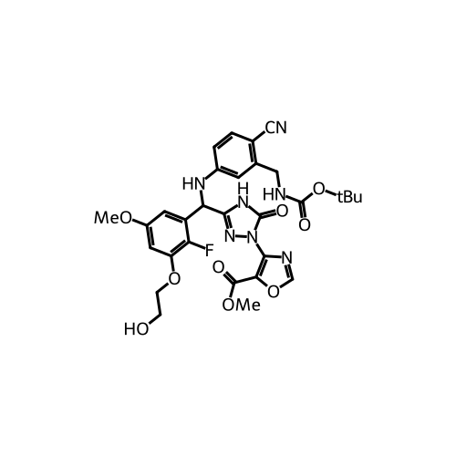 COC(=O)c1ocnc1-n1nc(C(Nc2ccc(C#N)c(CNC(=O)OC(C)(C)C)c2)c2cc(OC)cc(OCCO)c2F)[nH]c1=O